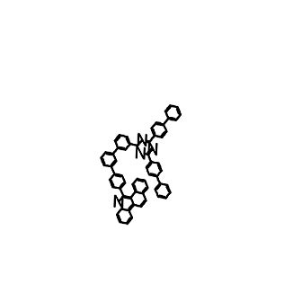 c1ccc(-c2ccc(-c3nc(-c4ccc(-c5ccccc5)cc4)nc(-c4cccc(-c5cccc(-c6ccc(-c7nc8ccccc8c8ccc9ccccc9c78)cc6)c5)c4)n3)cc2)cc1